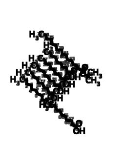 CCCCCCCCCC(=O)O.CCCCCCCCCC(=O)O.CCCCCCCCCC(=O)O.CCCCCCCCCC(=O)O.CCCCCCCCCC(=O)O.CCCCCCCCCC(=O)O.CCCCCCCCCCCCCCCC(=O)OC(C)C